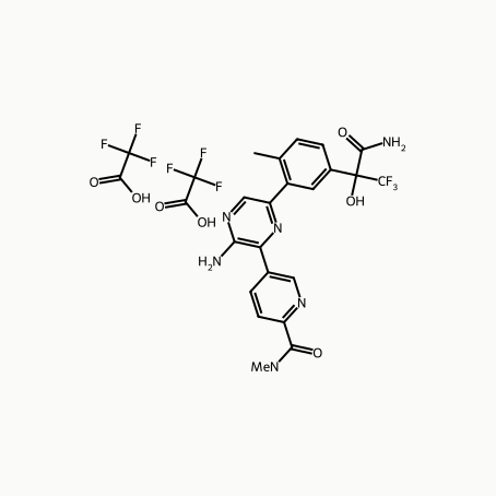 CNC(=O)c1ccc(-c2nc(-c3cc(C(O)(C(N)=O)C(F)(F)F)ccc3C)cnc2N)cn1.O=C(O)C(F)(F)F.O=C(O)C(F)(F)F